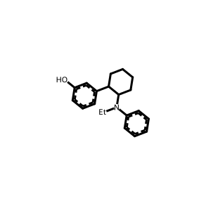 CCN(c1ccccc1)C1CCCCC1c1cccc(O)c1